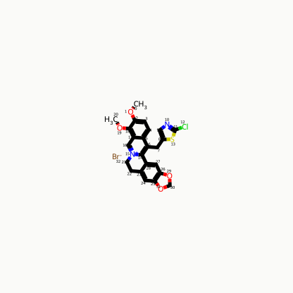 COc1ccc2c(Cc3cnc(Cl)s3)c3[n+](cc2c1OC)CCc1cc2c(cc1-3)OCO2.[Br-]